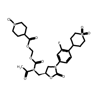 CC(=O)N(C[C@H]1CN(c2ccc(C3CCS(=O)(=O)CC3)c(F)c2)C(=O)O1)C(=O)OCOC(=O)C1CCN(Cl)CC1